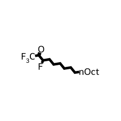 CCCCCCCCCCCCCCC(F)C(=O)C(F)(F)F